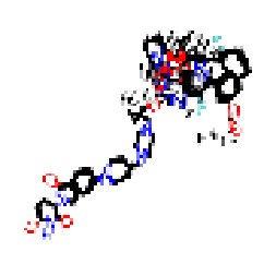 COCOc1cc(-c2nc(OC)c3c(N4CC5CCC(C4)N5C(=O)OC(C)(C)C)nc(OCC4(CN5CCN(CC6CCN(c7ccc8c(c7)CN(C7CCC(=O)NC7=O)C8=O)CC6)CC5)CC4)nc3c2F)c2c(C#C[Si](C(C)C)(C(C)C)C(C)C)c(F)ccc2c1